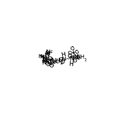 [N-]=[N+]=NCC(CN=[N+]=[N-])(CN=[N+]=[N-])OC(=O)N(N)[C@@H](Cc1ccc(OC(=O)NCCCC(=O)N[C@@H](CSC(c2ccccc2)(c2ccccc2)c2ccccc2)C(=O)N=NN)cc1)C(=O)N=O